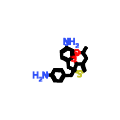 CC1CC2=CSC(Cc3ccc(N)cc3)(Cc3ccc(N)cc3)C2OO1